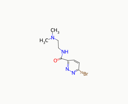 CN(C)CCNC(=O)c1ccc([76Br])nn1